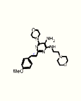 COc1ccc(/C=C/c2nc(NCCN3CCOCC3)c(N)c(N3CCOCC3)n2)cc1